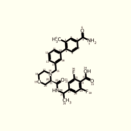 Cc1cc(C(N)=O)ccc1-c1cccc(CN2CCOC[C@@H]2C(=O)NC(C)c2cc(F)c(C(=O)O)c(F)c2)c1